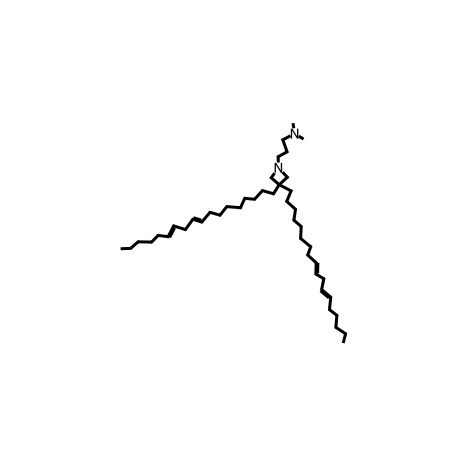 CCCCCC=CCC=CCCCCCCCCC1(CCCCCCCCC=CCC=CCCCCC)CN(CCCN(C)C)C1